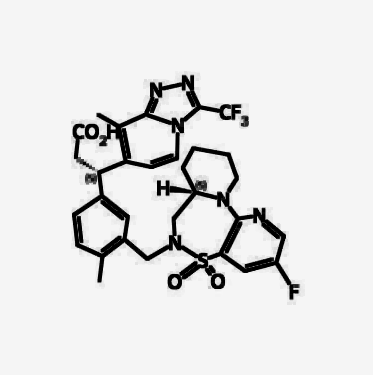 Cc1ccc([C@H](CC(=O)O)c2ccn3c(C(F)(F)F)nnc3c2C)cc1CN1C[C@@H]2CCCCN2c2ncc(F)cc2S1(=O)=O